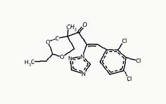 CCC1OCC(C)(C(=O)C(=Cc2ccc(Cl)c(Cl)c2Cl)n2cncn2)CO1